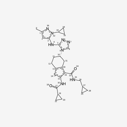 Cc1cc(Nc2nncn2[C@H]2CCc3sc(NC(=O)C4CC4)c(C(=O)NCC4CC4)c3C2)n(C2CC2)n1